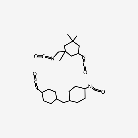 CC1(C)CC(N=C=O)CC(C)(CN=C=O)C1.O=C=NC1CCC(CC2CCC(N=C=O)CC2)CC1